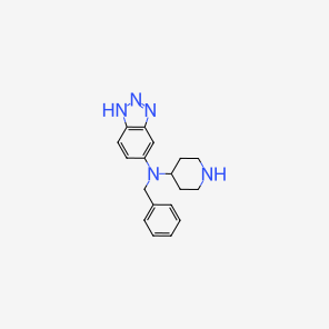 c1ccc(CN(c2ccc3[nH]nnc3c2)C2CCNCC2)cc1